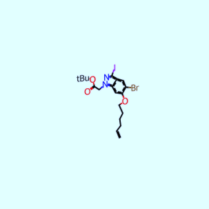 C=CCCCCOc1cc2c(cc1Br)c(I)nn2CC(=O)OC(C)(C)C